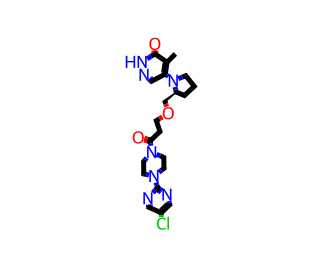 Cc1c(N2CCC[C@H]2COCCC(=O)N2CCN(c3ncc(Cl)cn3)CC2)cn[nH]c1=O